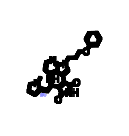 CN1CCC/C1=C/C(=N)C1=C(c2cn(CCCOc3ccccc3)c3ncccc23)C(=O)NC1=O